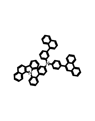 c1cc(-c2cccc3ccccc23)cc(N(c2ccc(-c3ccccc3-n3c4ccccc4c4ccc5ccccc5c43)cc2)c2ccc(-c3cc4ccccc4c4ccccc34)cc2)c1